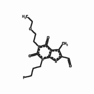 CCOCCn1c(=O)c2c(C)c(C=O)sc2n(CCCF)c1=O